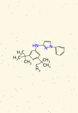 CC(C)(C)c1[c]c(C(C)(C)C)cc(Nc2ccn(-c3ccccc3)n2)c1